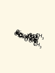 CC(=O)OC(c1coc(C)n1)C1C(=O)N2C(C(=O)OCc3ccc([N+](=O)[O-])cc3)=CS[C@H]12